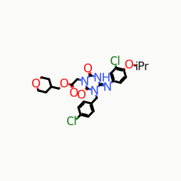 CC(C)Oc1ccc(/N=c2\[nH]c(=O)n(CC(=O)OCC3CCOCC3)c(=O)n2Cc2ccc(Cl)cc2)cc1Cl